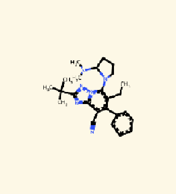 CCc1c(-c2ccccc2)c(C#N)c2nc(C(C)(C)C)nn2c1N1CCCC1N(C)C